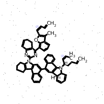 C=C/C=C\c1oc2c(-c3nc(-n4c5c(c6c7ccccc7c(-c7cc8c(c9ccccc79)N([C@@H](/C=C\C)CCC=C)C7C=CC=C[C@@H]87)cc64)CCCC5)nc4c3CCC=C4)cccc2c1C